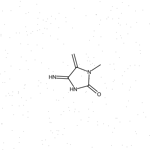 C=C1C(=N)NC(=O)N1C